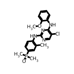 COc1ccccc1Nc1nc(Nc2ccc(P(C)(C)=O)cc2C)ncc1Cl